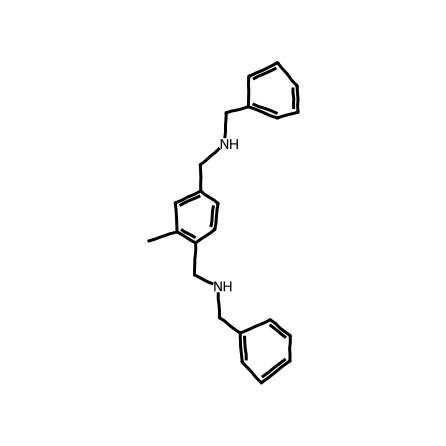 Cc1cc(CNCc2ccccc2)ccc1CNCc1ccccc1